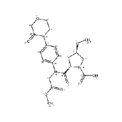 COC(=O)CN(C(=O)[C@H]1C[C@@H](OC)CN1C(=O)O)c1ccc(N2CCOCC2=O)cc1